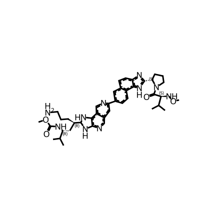 CON[C@H](C(=O)N1CCC[C@H]1c1nc2ccc3cc(-c4cc5cnc6c(c5cn4)NC([C@H](CCCN)C[C@@H](NC(=O)OC)C(C)C)N6)ccc3c2[nH]1)C(C)C